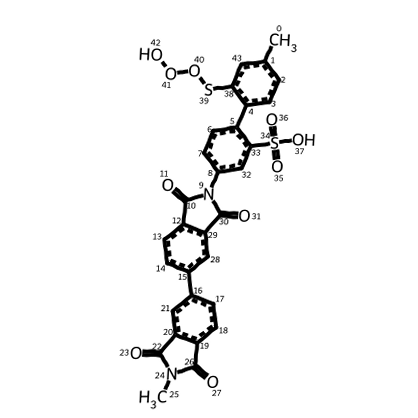 Cc1ccc(-c2ccc(N3C(=O)c4ccc(-c5ccc6c(c5)C(=O)N(C)C6=O)cc4C3=O)cc2S(=O)(=O)O)c(SOOO)c1